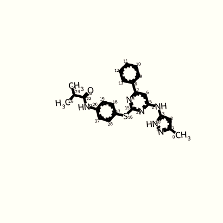 Cc1cc(Nc2cc(-c3ccccc3)nc(Sc3ccc(NC(=O)C(C)C)cc3)n2)[nH]n1